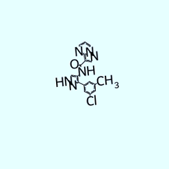 Cc1cc(Cl)cc(-c2n[nH]cc2NC(=O)c2cnn3cccnc23)c1